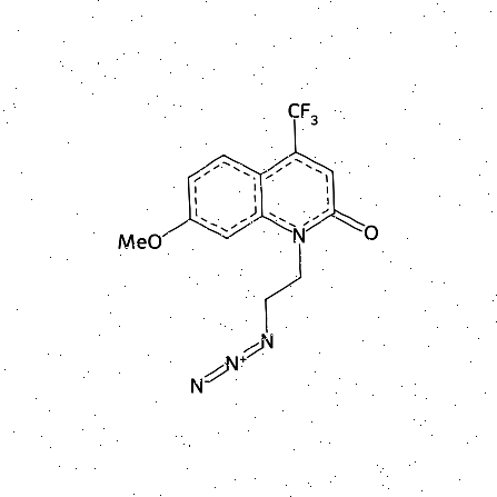 COc1ccc2c(C(F)(F)F)cc(=O)n(CCN=[N+]=[N-])c2c1